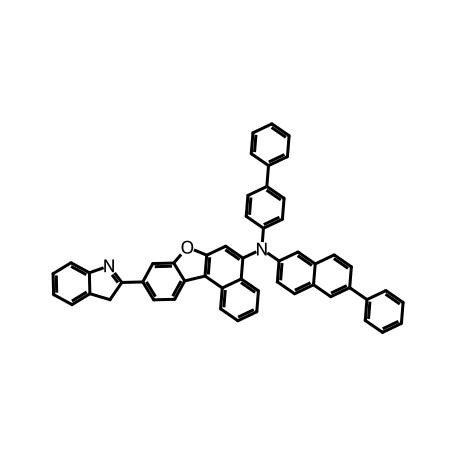 c1ccc(-c2ccc(N(c3ccc4cc(-c5ccccc5)ccc4c3)c3cc4oc5cc(C6=Nc7ccccc7C6)ccc5c4c4ccccc34)cc2)cc1